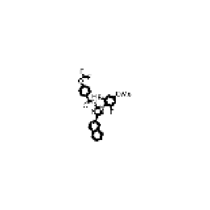 COc1cc(F)c(-n2cc(-c3ccc4ccccc4c3)nc2NC(=O)c2ccc(OC(F)F)cc2)c(F)c1